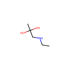 CCNCC(C)(O)O